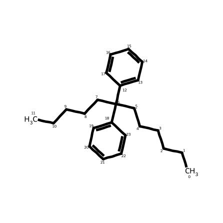 CCCCC[CH]C(CCCCC)(c1ccccc1)c1ccccc1